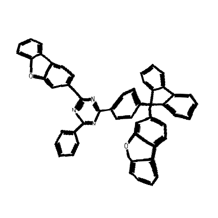 c1ccc(-c2nc(-c3ccc(C4(c5ccc6c(c5)oc5ccccc56)c5ccccc5-c5ccccc54)cc3)nc(-c3ccc4c(c3)oc3ccccc34)n2)cc1